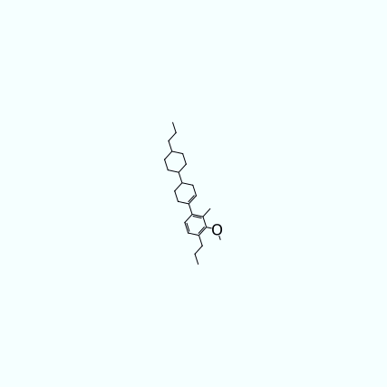 CCCc1ccc(C2=CCC(C3CCC(CCC)CC3)CC2)c(C)c1OC